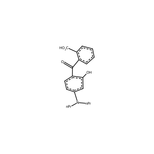 CCCN(CCC)c1ccc(C(=O)c2ccccc2C(=O)O)c(O)c1